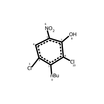 CCCCc1c(Cl)cc([N+](=O)[O-])c(O)c1Cl